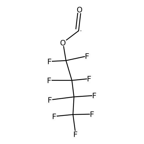 O=[C]OC(F)(F)C(F)(F)C(F)(F)C(F)(F)F